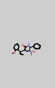 C=CC(c1ccccc1OC)C1CC([N+](=O)[O-])C(c2ccccc2)NC1=O